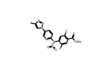 COC(=O)c1cc(F)c(N(c2ccc(-n3cc(C)nn3)cn2)[SH](=O)=O)cc1F